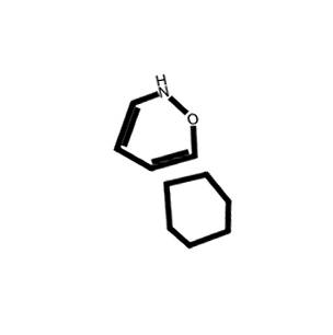 C1=CNOC=C1.C1CCCCC1